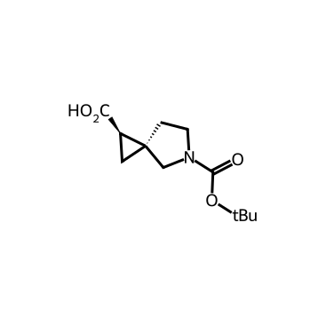 CC(C)(C)OC(=O)N1CC[C@@]2(C[C@H]2C(=O)O)C1